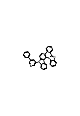 c1ccc(-c2cncc(-n3c4ccccc4c4c3ccc3c5ccccc5c5nc6ccccc6n5c34)c2)cc1